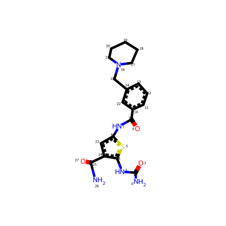 NC(=O)Nc1sc(NC(=O)c2cccc(CN3CCCCC3)c2)cc1C(N)=O